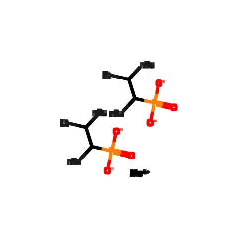 CCCCC(CC)C(CCCC)P(=O)([O-])[O-].CCCCC(CC)C(CCCC)P(=O)([O-])[O-].[Mo+4]